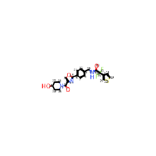 O=C(c1coc(-c2ccc(CNC(=O)C(F)(F)c3ccsc3)cc2)n1)N1CCC(O)CC1